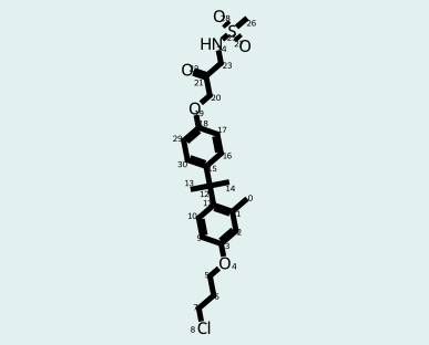 Cc1cc(OCCCCl)ccc1C(C)(C)c1ccc(OCC(=O)CNS(C)(=O)=O)cc1